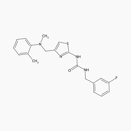 Cc1ccccc1N(C)Cc1csc(NC(=O)NCc2cccc(F)c2)n1